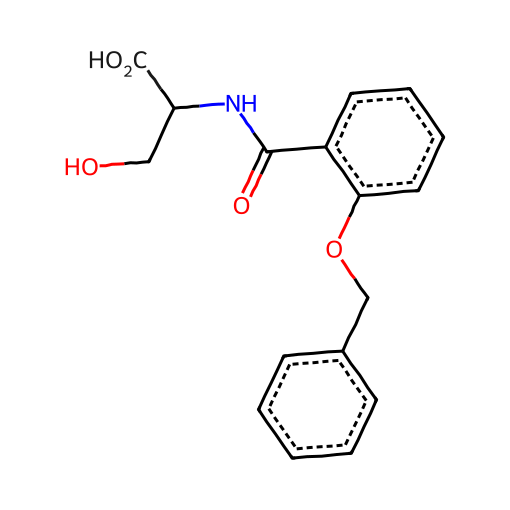 O=C(NC(CO)C(=O)O)c1ccccc1OCc1ccccc1